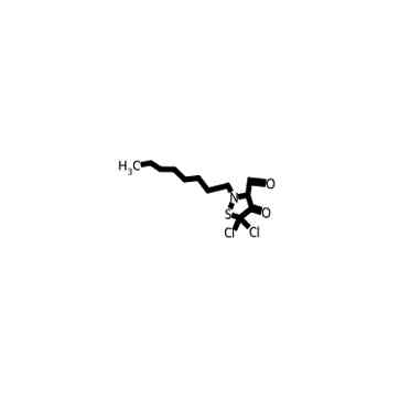 CCCCCCCCN1SC(Cl)(Cl)C(=O)C1C=O